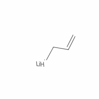 [CH2]CC=C.[LiH]